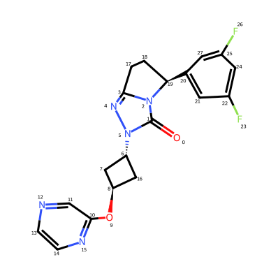 O=c1n2c(nn1[C@H]1C[C@H](Oc3cnccn3)C1)CC[C@H]2c1cc(F)cc(F)c1